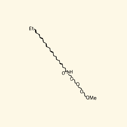 CCC=CCC=CCC=CCC=CCC=CCC=CCCC(=O)NCCOCCOCCOCCOC